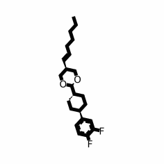 CCCCCC=C[C@H]1CO[C@H]([C@H]2CC[C@H](c3ccc(F)c(F)c3)CC2)OC1